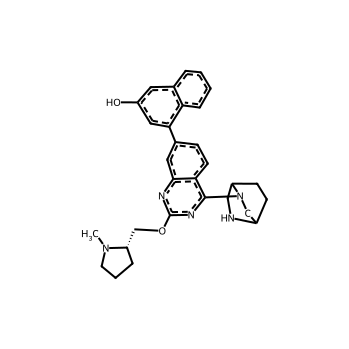 CN1CCC[C@H]1COc1nc(N2CC3CCC2CN3)c2ccc(-c3cc(O)cc4ccccc34)cc2n1